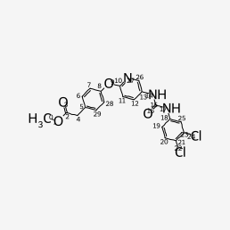 COC(=O)Cc1ccc(Oc2ccc(NC(=O)Nc3ccc(Cl)c(Cl)c3)cn2)cc1